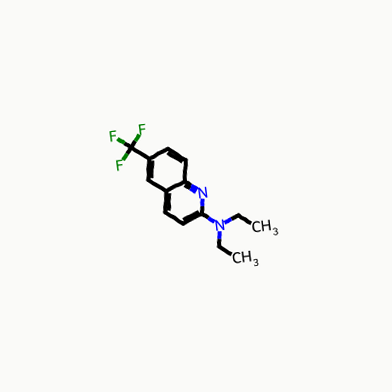 CCN(CC)c1ccc2cc(C(F)(F)F)ccc2n1